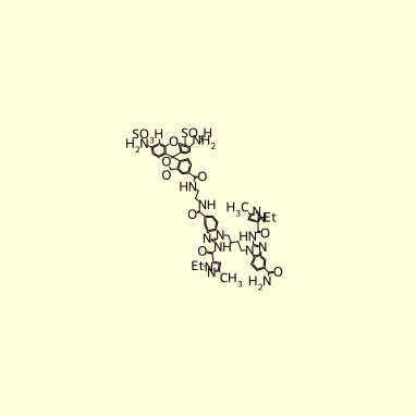 CCn1nc(C)cc1C(=O)Nc1nc2cc(C(N)=O)ccc2n1CCCCn1c(NC(=O)c2cc(C)nn2CC)nc2cc(C(=O)NCCNC(=O)c3ccc4c(c3)C(=O)OC43c4ccc(N)c(S(=O)(=O)O)c4Oc4c3ccc(N)c4S(=O)(=O)O)ccc21